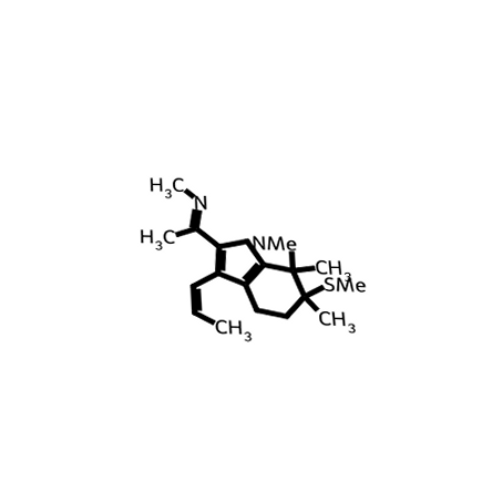 C/C=C\C1=C(C(/C)=N/C)CC2=C1CCC(C)(SC)C2(C)NC